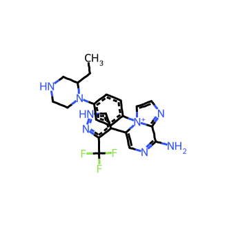 CCC1CNCCN1c1ccc([N+]23C=CN=C2C(N)=NC=C3c2c[nH]nc2C(F)(F)F)cc1